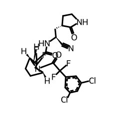 N#C[C@H](C[C@@H]1CCNC1=O)NC(=O)[C@H]1[C@H]2CC[C@H](CC2(F)F)N1C(=O)C(F)(F)c1cc(Cl)cc(Cl)c1